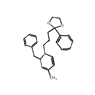 CC1=CC(Cc2ccccc2)N(CCCC2(c3ccccc3)OCCO2)C=C1